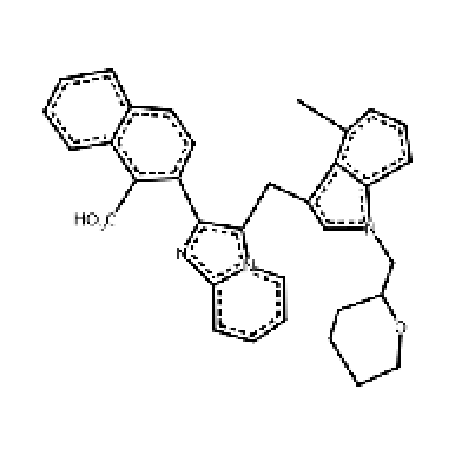 Cc1cccc2c1c(Cc1c(-c3ccc4ccccc4c3C(=O)O)nc3ccccn13)cn2CC1CCCCO1